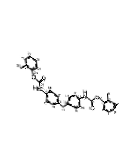 Cc1ccccc1OC(=O)Nc1ccc(Cc2ccc(NC(=O)Oc3ccccc3C)cc2)cc1